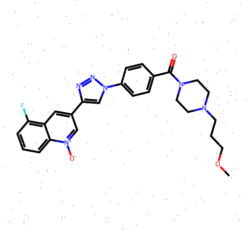 COCCCN1CCN(C(=O)c2ccc(-n3cc(-c4cc5c(F)cccc5[n+]([O-])c4)nn3)cc2)CC1